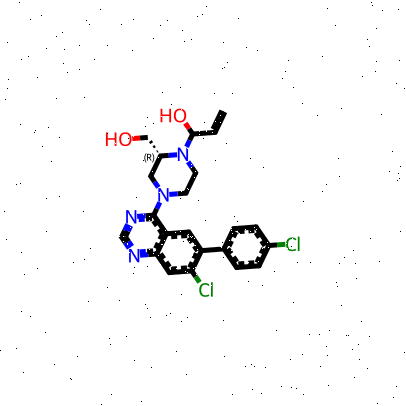 C=CC(O)N1CCN(c2ncnc3cc(Cl)c(-c4ccc(Cl)cc4)cc23)C[C@@H]1CO